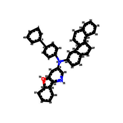 c1ccc(-c2ccc(N(c3cnc4c(c3)oc3ccccc34)c3ccc4ccc5c6ccccc6ccc5c4c3)cc2)cc1